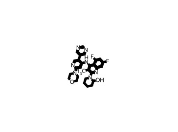 Cc1c(N2CCCCC2O)nc2cc(F)cc(F)c2c1Nc1cc(N2CCOCC2)ncc1-c1cncnc1